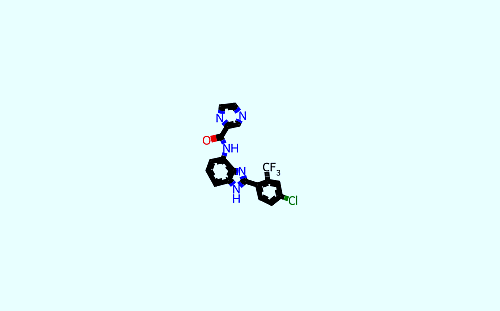 O=C(Nc1cccc2[nH]c(-c3ccc(Cl)cc3C(F)(F)F)nc12)c1cnccn1